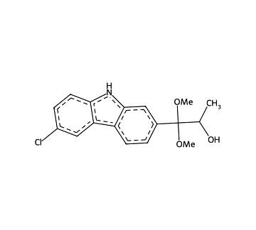 COC(OC)(c1ccc2c(c1)[nH]c1ccc(Cl)cc12)C(C)O